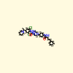 CC(c1cc(Cl)c(NC(=O)N2CCN(c3ccc(NC(=O)CCCc4ccccc4)cc3)CC2)c(Cl)c1)N1CCCCC1